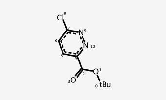 CC(C)(C)OC(=O)c1ccc(Cl)nn1